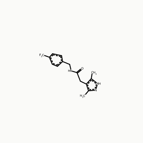 Cc1n[nH]c(C)c1CC(=O)NCc1ccc(C(F)(F)F)cc1